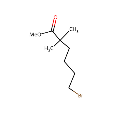 COC(=O)C(C)(C)CCCCBr